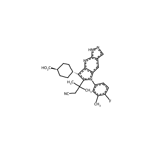 Cc1cc(-n2c(C(C)(C)CC#N)c([C@H]3CC[C@H](C(=O)O)CC3)c3nc4[nH]ncc4cc32)ccc1F